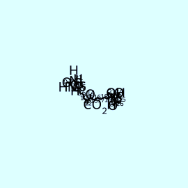 O=C1N[C@H]2[C@H](CS[C@H]2CCCC(C(=O)O)C(=O)CCCCCN(O)N2C(=O)CCC2=O)N1